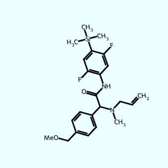 C=CCN(C)C(C(=O)Nc1cc(F)c([Si](C)(C)C)cc1F)c1ccc(COC)cc1